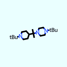 CC(C)(C)N1CCC(C(C)(C)N2CCN(C(C)(C)C)CC2)CC1